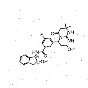 COCCC(c1cc(F)cc(C(=O)N[C@@H]2c3ccccc3C[C@H]2O)c1)N1C(=N)NC(C)(C)CC1=O